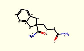 NC(=O)CCCC1(C(N)=O)Cc2ccccc2C1